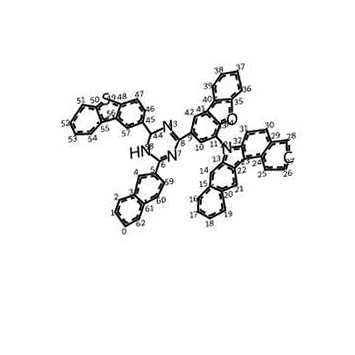 c1ccc2cc(C3=NC(c4cc(-n5c6cc7ccccc7cc6c6c7ccccc7ccc65)c5oc6ccccc6c5c4)=NC(c4ccc5sc6ccccc6c5c4)N3)ccc2c1